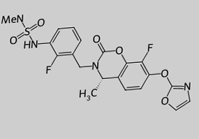 CNS(=O)(=O)Nc1cccc(CN2C(=O)Oc3c(ccc(Oc4ncco4)c3F)[C@@H]2C)c1F